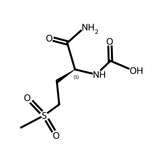 CS(=O)(=O)CC[C@H](NC(=O)O)C(N)=O